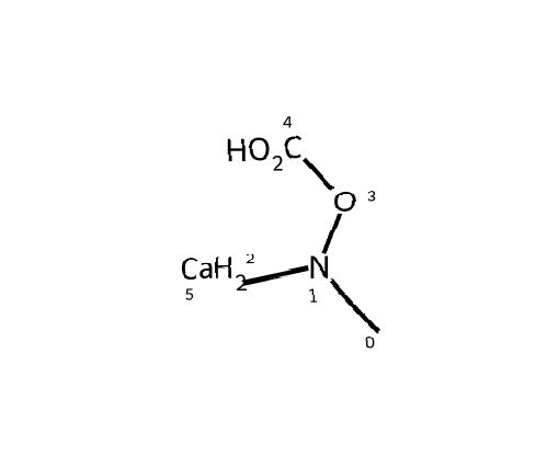 CN(C)OC(=O)O.[CaH2]